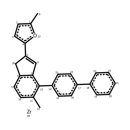 Cc1ccc(C2=Cc3c(ccc(C)c3-c3ccc(-c4ccccc4)cc3)[CH]2)o1.[Zr]